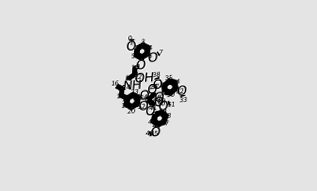 COc1ccc(OC)c(OCC(O)CNC(C)Cc2ccc3c(c2)OC(C(=O)Oc2cc(OC)ccc2OC)(C(=O)Oc2cc(OC)ccc2OC)O3)c1